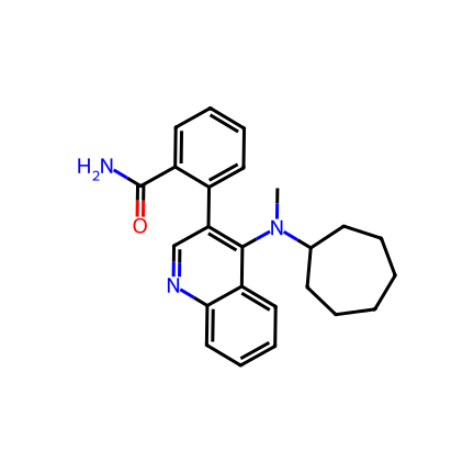 CN(c1c(-c2ccccc2C(N)=O)cnc2ccccc12)C1CCCCCC1